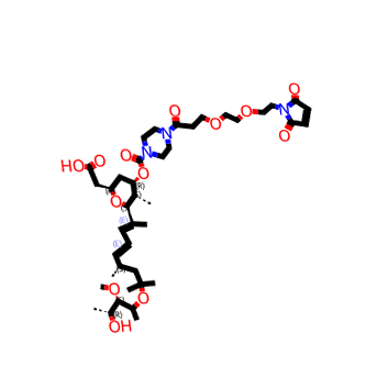 CO[C@H](C(C)OC(C)(C)C[C@H](C)/C=C/C=C(\C)[C@H]1O[C@@H](CC(=O)O)C[C@@H](OC(=O)N2CCN(C(=O)CCOCCOCCN3C(=O)C=CC3=O)CC2)[C@@H]1C)[C@@H](C)O